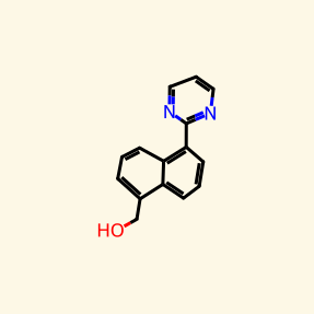 OCc1cccc2c(-c3ncccn3)cccc12